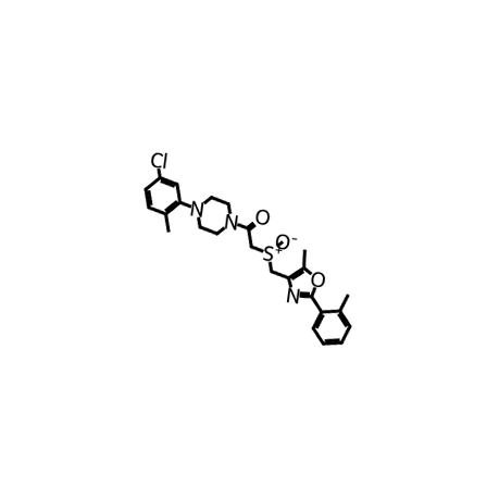 Cc1ccccc1-c1nc(C[S+]([O-])CC(=O)N2CCN(c3cc(Cl)ccc3C)CC2)c(C)o1